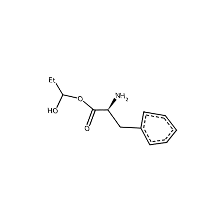 CCC(O)OC(=O)[C@@H](N)Cc1ccccc1